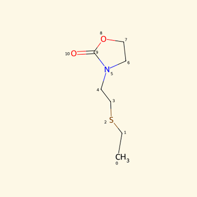 CCSCCN1CCOC1=O